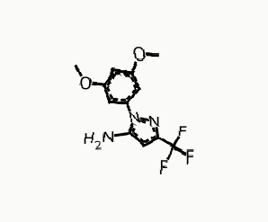 COc1cc(OC)cc(-n2nc(C(F)(F)F)cc2N)c1